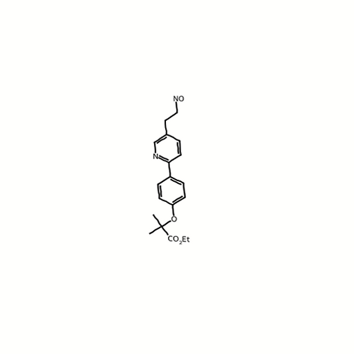 CCOC(=O)C(C)(C)Oc1ccc(-c2ccc(CCN=O)cn2)cc1